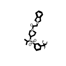 CC(C)N(C1CCN(C(=O)CN2Cc3ccccc3C2)CC1)S(=O)(=O)c1cccc(C(F)(F)F)c1